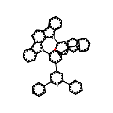 c1ccc(-c2cccc(-n3c4ccccc4c4ccc5c6ccccc6n(-c6cc(-c7ccccc7)cc(-c7cc(-c8ccccc8)nc(-c8ccccc8)c7)c6)c5c43)c2)cc1